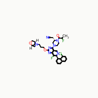 C=C(F)C(=O)N1CCN(c2nc(OCCCN3C[C@@H]4C[C@H]3CO4)nc3c(F)c(-c4cccc5cccc(Cl)c45)ncc23)C[C@@H]1CC#N